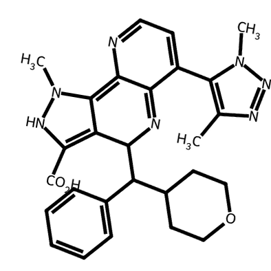 Cc1nnn(C)c1-c1ccnc2c1=NC(C(c1ccccc1)C1CCOCC1)C1=C(C(=O)O)NN(C)C=21